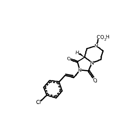 O=C(O)N1CCN2C(=O)N(C=Cc3ccc(Cl)cc3)C(=O)[C@@H]2C1